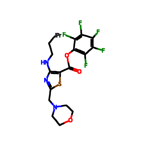 CC(C)CCNc1nc(CN2CCOCC2)sc1C(=O)Oc1c(F)c(F)c(F)c(F)c1F